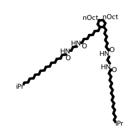 CCCCCCCCC1CC(CCCCCCC(=O)NCCCNC(=O)CCCCCCCCCCCCCCCC(C)C)C(CCCCCCC(=O)NCCCNC(=O)CCCCCCCCCCCCCCCC(C)C)CC1CCCCCCCC